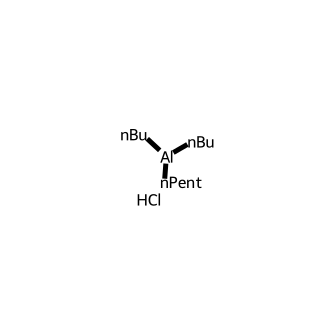 CCCC[CH2][Al]([CH2]CCC)[CH2]CCC.Cl